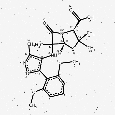 COc1cccc(OC)c1-c1onc(C)c1NC1(C)C(=O)N2[C@@H](C(=O)O)C(C)(C)S[C@@H]21